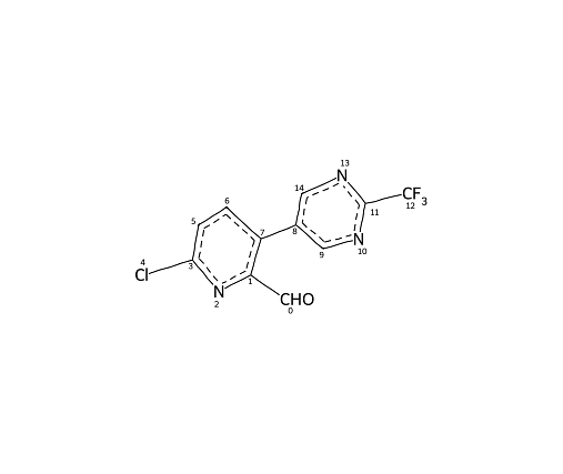 O=Cc1nc(Cl)ccc1-c1cnc(C(F)(F)F)nc1